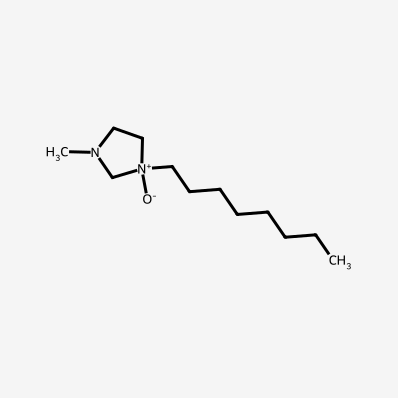 CCCCCCCC[N+]1([O-])CCN(C)C1